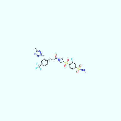 Cc1nnn(Cc2cc(C(F)(F)F)ccc2CCC(=O)N2CC(S(=O)(=O)c3ccc(S(N)(=O)=O)cc3F)C2)n1